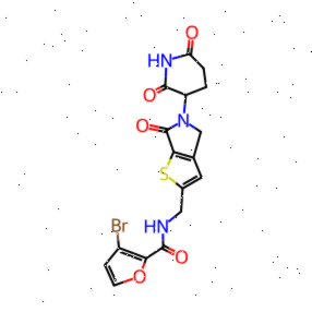 O=C1CCC(N2Cc3cc(CNC(=O)c4occc4Br)sc3C2=O)C(=O)N1